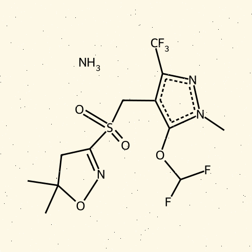 Cn1nc(C(F)(F)F)c(CS(=O)(=O)C2=NOC(C)(C)C2)c1OC(F)F.N